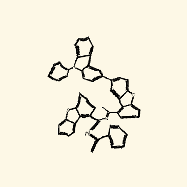 C=C(/N=C(\N=C(/C)c1cccc2oc3ccc(-c4ccc5c(c4)c4ccccc4n5-c4ccccc4)cc3c12)c1cccc2sc3ccccc3c12)c1ccccc1